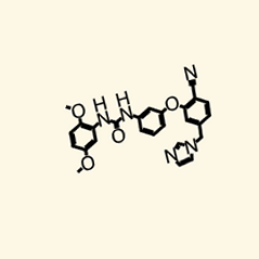 COc1ccc(OC)c(NC(=O)Nc2cccc(Oc3cc(Cn4ccnc4)ccc3C#N)c2)c1